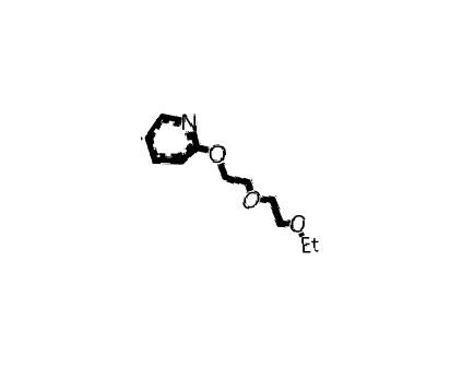 CCOCCOCCOc1cc[c]cn1